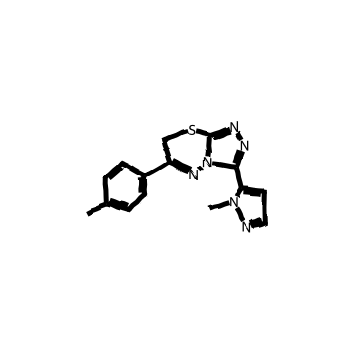 Cc1ccc(C2=Nn3c(nnc3-c3ccnn3C)SC2)cc1